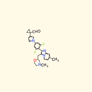 Cc1ccn2c(CC3CN(C)CCO3)c(-c3c(F)cc(-n4ccc(C5(C=O)CC5)c4)cc3F)nc2c1